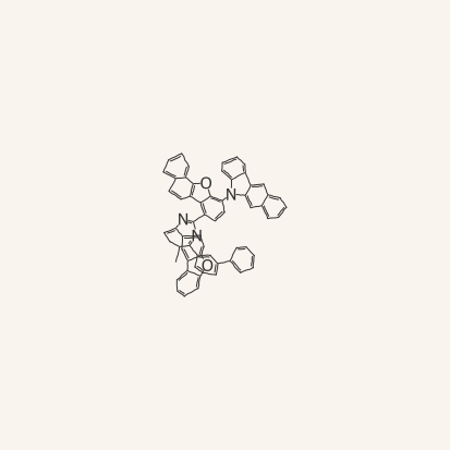 CC1C/C=C(c2ccc3oc4ccccc4c3c2)/N=C(c2ccc(-n3c4ccccc4c4cc5ccccc5cc43)c3oc4c5ccccc5ccc4c23)\N=C/1c1cccc(-c2ccccc2)c1